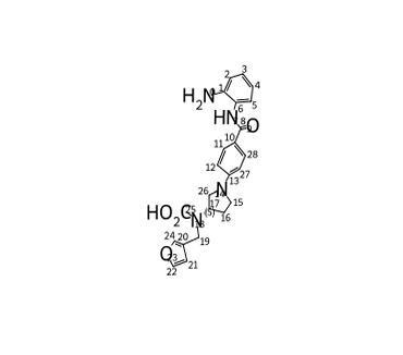 Nc1ccccc1NC(=O)c1ccc(N2CC[C@H](N(Cc3ccoc3)C(=O)O)C2)cc1